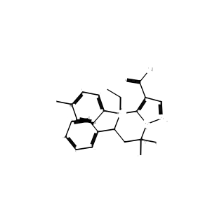 CC[N+]1(c2ccc(C)cc2)c2c(C(N)=O)cnn2C(C)(C)CC1c1ccccc1